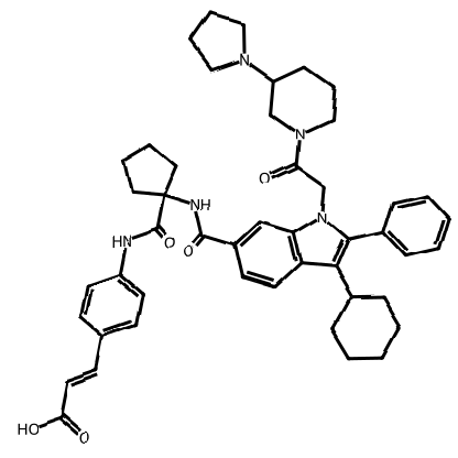 O=C(O)/C=C/c1ccc(NC(=O)C2(NC(=O)c3ccc4c(C5CCCCC5)c(-c5ccccc5)n(CC(=O)N5CCCC(N6CCCC6)C5)c4c3)CCCC2)cc1